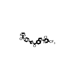 O=C(c1ccc2c(ccn2-c2ncc(C(F)(F)F)cc2Cl)c1)N1CC(N2CCN(C(=O)c3nccs3)CC2)C1